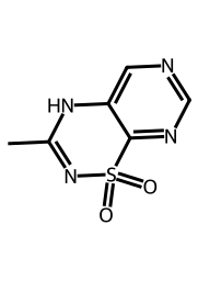 CC1=NS(=O)(=O)c2ncncc2N1